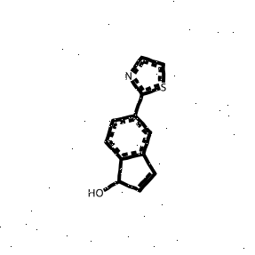 OC1C=Cc2cc(-c3nccs3)ccc21